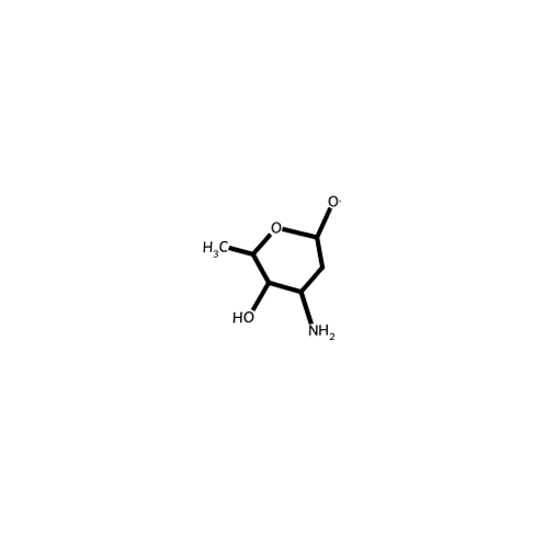 CC1OC([O])CC(N)C1O